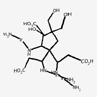 [NH2][Ir][NH]C(CC(=O)O)C(CC(CO)(CO)CO)(C(CC(=O)O)[NH][Ir][NH2])C(CC(=O)O)[NH][Ir][NH2]